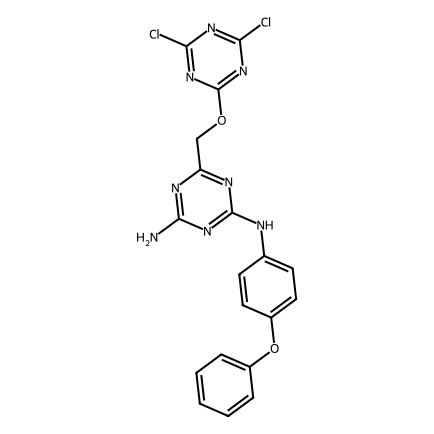 Nc1nc(COc2nc(Cl)nc(Cl)n2)nc(Nc2ccc(Oc3ccccc3)cc2)n1